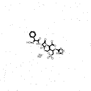 O=C([O-])C1=C(C(CS(=O)(=O)[O-])Sc2nnn[nH]2)CS[C@H]2[C@H](NC(=O)C(=NO)c3ccccc3)C(=O)N12.[Na+].[Na+]